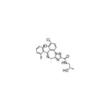 C[C@@H]1N=C(c2c(F)cccc2F)c2c(ccc(Cl)c2Cl)-n2nc(C(=O)NC[C@@H](C)O)nc21